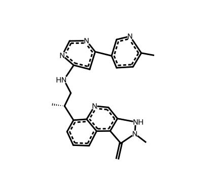 C=C1c2c(cnc3c([C@H](C)CNc4cc(-c5ccc(C)nc5)ncn4)cccc23)NN1C